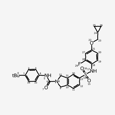 CC(C)(C)c1ccc(NC(=O)N2Cc3ccc(S(=O)(=O)Nc4ccc(OCC5CC5)cc4F)cc3C2)cc1